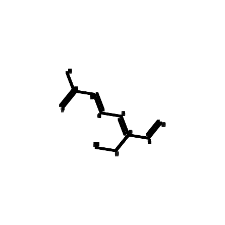 C=CC(=CC=CC(=C)C)CC